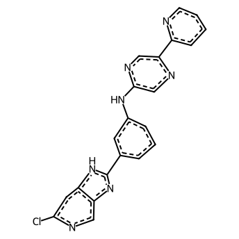 Clc1cc2[nH]c(-c3cccc(Nc4cnc(-c5ccccn5)cn4)c3)nc2cn1